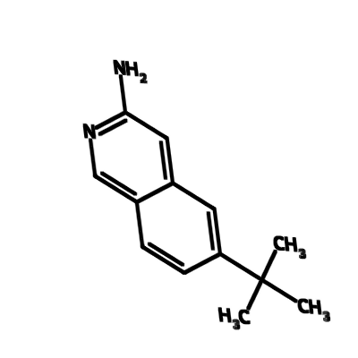 CC(C)(C)c1ccc2cnc(N)cc2c1